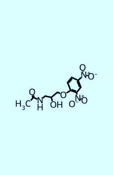 CC(=O)NCC(O)COc1ccc([N+](=O)[O-])cc1[N+](=O)[O-]